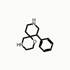 c1ccc(C2CNCCC23CNCCO3)cc1